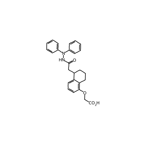 O=C(O)COc1cccc2c1CCCC2CC(=O)NN(c1ccccc1)c1ccccc1